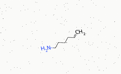 C=CC[CH]CCN